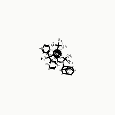 CC(C)(C)P(C[C]12[CH]3[C]4(C(C)(C)C)[CH]5[C]1(C(P)(c1cnccn1)c1cnccn1)[Fe]35241678[CH]2[CH]1[CH]6[CH]7[CH]28)C1C2CC3CC(C2)CC1C3